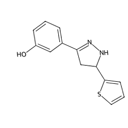 Oc1cccc(C2=NNC(c3cccs3)C2)c1